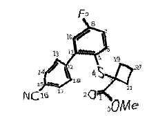 COC(=O)C1(Sc2ccc(F)cc2-c2ccc(C#N)cc2)CCC1